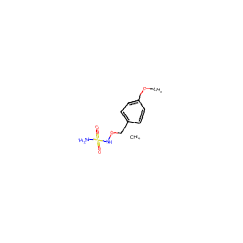 C.COc1ccc(CONS(N)(=O)=O)cc1